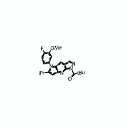 COc1cc(-n2c(C(C)C)cc3nc4c(cnn4C(=O)C(C)(C)C)cc32)ccc1F